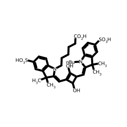 CCCCN1C(=CC2C(O)=C(C=C3N(CCCCCC(=O)O)c4ccc(S(=O)(=O)O)cc4C3(C)C)C2O)C(C)(C)c2cc(S(=O)(=O)O)ccc21